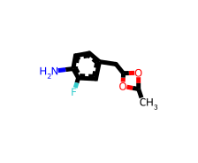 CC1OC(Cc2ccc(N)c(F)c2)O1